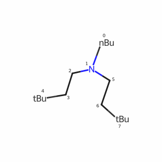 CCCCN(CCC(C)(C)C)CCC(C)(C)C